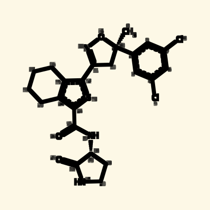 C[C@]1(c2cc(Cl)cc(Cl)c2)CC(c2sc(C(=O)N[C@@H]3CCNC3=O)c3c2CCCC3)=NO1